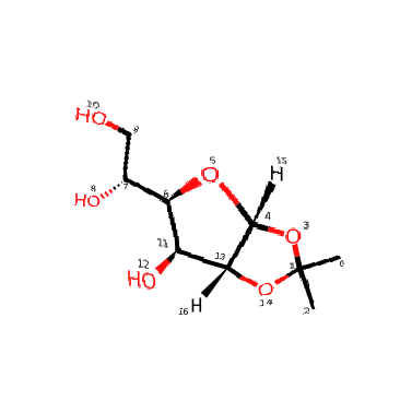 CC1(C)O[C@H]2O[C@H]([C@H](O)CO)[C@H](O)[C@H]2O1